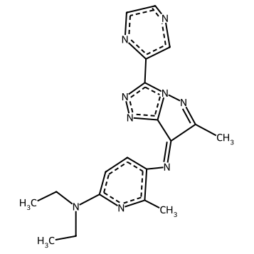 CCN(CC)c1ccc(/N=C2/C(C)=Nn3c2nnc3-c2cnccn2)c(C)n1